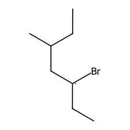 CC[C](Br)CC(C)CC